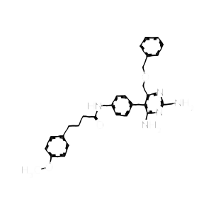 COc1ccc(CCCC(=O)Nc2ccc(-c3c(N)nc(N)nc3COCc3ccccc3)cc2)cc1